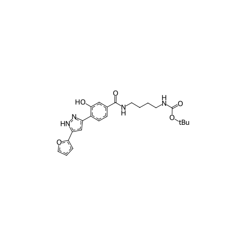 CC(C)(C)OC(=O)NCCCCNC(=O)c1ccc(-c2cc(-c3ccco3)[nH]n2)c(O)c1